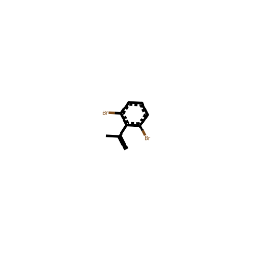 C=C(C)c1c(Br)cccc1Br